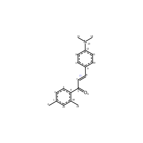 Cc1ccc(C(=O)/C=C/c2ccc(N(C)C)cc2)c(C)c1